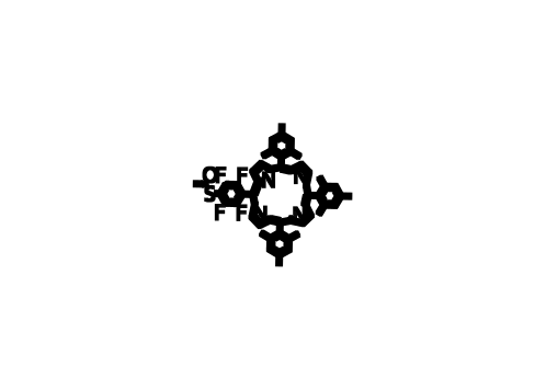 CC(=O)Sc1c(F)c(F)c(C2=C3C=CC(=N3)C(c3c(C)cc(C)cc3C)=C3C=CC(=N3)C(c3c(C)cc(C)cc3C)=C3C=CC(=N3)C(c3c(C)cc(C)cc3C)=C3C=CC2=N3)c(F)c1F